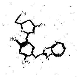 Cc1cc(O)c(C2CC(O)CC(CO)O2)cc1Cc1nc2ccccc2s1